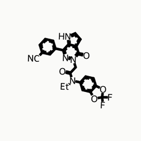 CCN(C(=O)Cn1nc(-c2cccc(C#N)c2)c2[nH]ccc2c1=O)c1ccc2c(c1)OC(F)(F)O2